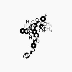 Cc1c(N(C(=O)c2cc(-c3cc4c(cc3C(=O)N3Cc5ccccc5C[C@H]3C)CN(C(=O)Cc3ccc(OCCN5CCOCC5)cc3)CC4)n(C)c2C)c2ccc(F)cc2)cc(C#N)n1C